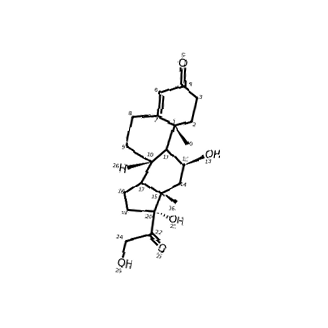 C[C@]12CCC(=O)C=C1CC[C@@H]1C2[C@@H](O)C[C@@]2(C)C1CC[C@]2(O)C(=O)CO